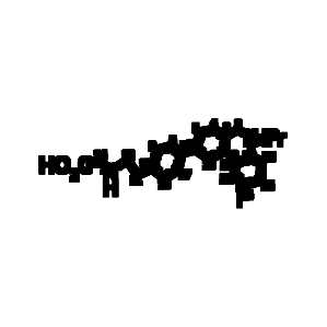 CC(C)N(Cc1ccc(-c2ccc(CCNCC(=O)O)cc2)cc1)c1ccc(F)cc1